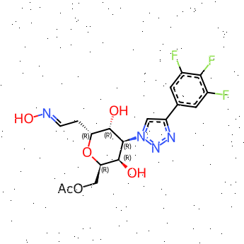 CC(=O)OC[C@H]1O[C@H](CC=NO)[C@H](O)[C@@H](n2cc(-c3cc(F)c(F)c(F)c3)nn2)[C@H]1O